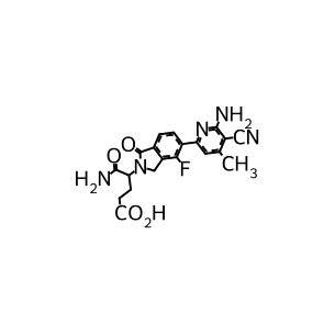 Cc1cc(-c2ccc3c(c2F)CN(C(CCC(=O)O)C(N)=O)C3=O)nc(N)c1C#N